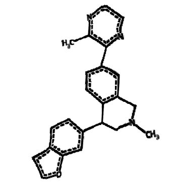 Cc1nccnc1-c1ccc2c(c1)CN(C)CC2c1ccc2ccoc2c1